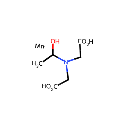 CC(O)N(CC(=O)O)CC(=O)O.[Mn]